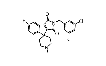 CN1CCC(C2=CC(=O)N(Cc3cc(Cl)cc(Cl)c3)C2=O)(c2ccc(F)cc2)CC1